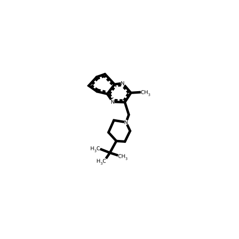 Cc1nc2ccccc2nc1CN1CCC(C(C)(C)C)CC1